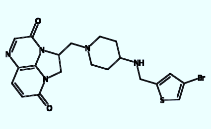 O=c1ccc2ncc(=O)n3c2n1CC3CN1CCC(NCc2cc(Br)cs2)CC1